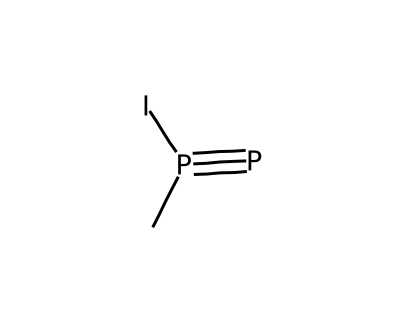 CP(#P)I